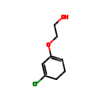 OCCOC1=CCCC(Cl)=C1